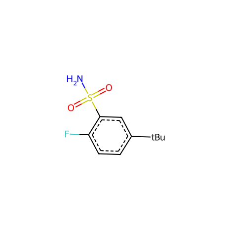 CC(C)(C)c1ccc(F)c(S(N)(=O)=O)c1